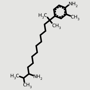 Cc1cc(C(C)(C)CCCCCCCCCC(N)C(C)C)ccc1N